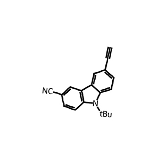 C#Cc1ccc2c(c1)c1cc(C#N)ccc1n2C(C)(C)C